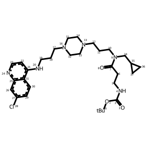 CC(C)(C)OC(=O)NCCC(=O)N(CCCN1CCN(CCCNc2ccnc3cc(Cl)ccc23)CC1)CC1CC1